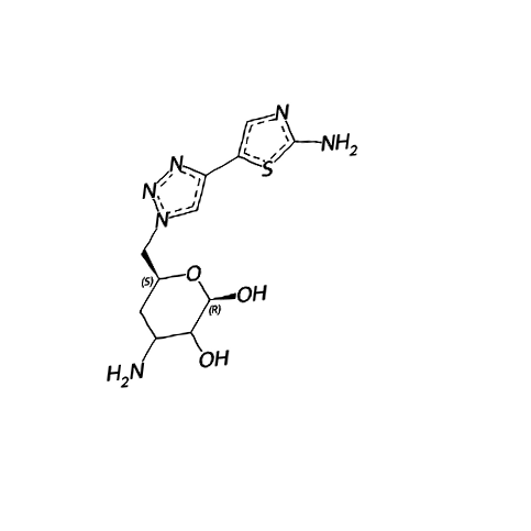 Nc1ncc(-c2cn(C[C@@H]3CC(N)C(O)[C@H](O)O3)nn2)s1